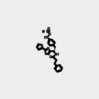 O=C(CCc1ccccc1)N[C@@H](Cc1ccc(NO[SH](=O)=O)cc1)c1csc(-c2cccs2)n1